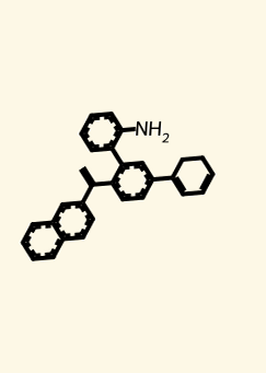 C=C(c1ccc2ccccc2c1)c1ccc(C2=CC=CCC2)cc1-c1ccccc1N